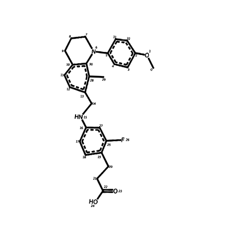 COc1ccc(N2CCCc3ccc(CNc4ccc(CCC(=O)O)c(F)c4)c(C)c32)cc1